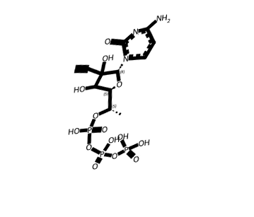 C#CC1(O)C(O)[C@@H]([C@H](C)OP(=O)(O)OP(=O)(O)OP(=O)(O)O)O[C@H]1n1ccc(N)nc1=O